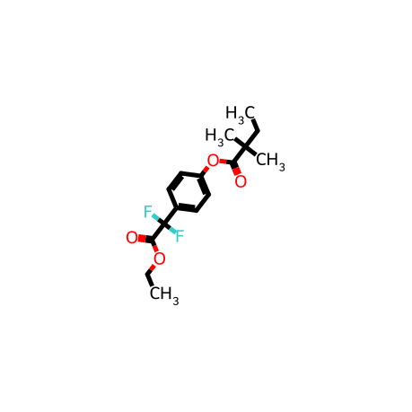 CCOC(=O)C(F)(F)c1ccc(OC(=O)C(C)(C)CC)cc1